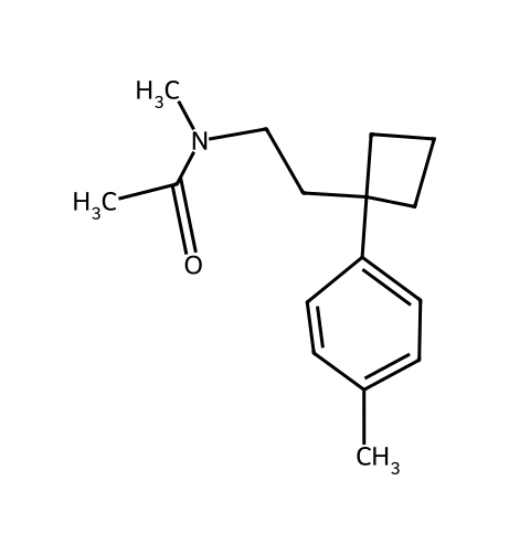 CC(=O)N(C)CCC1(c2ccc(C)cc2)CCC1